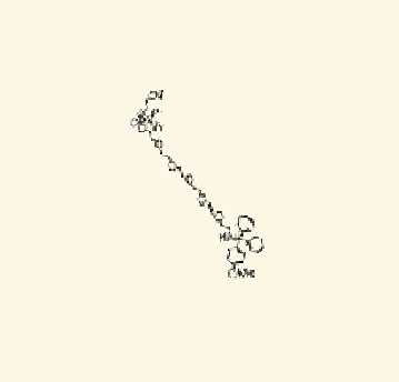 COc1ccc(C(NCCOCCOCCOCCOCCOCCOP(=O)(OCCC#N)N(C(C)C)C(C)C)(c2ccccc2)c2ccccc2)cc1